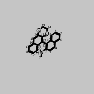 CNc1ccc2ccccc2c1-c1c2c(cc3ccccc13)OCCO2